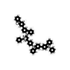 c1ccc(-c2nc(-c3ccc(-n4c5ccccc5c5cc(-c6ccc7c(c6)c6ccccc6n7-c6ccccc6)ccc54)cc3)cc(-n3c4ccccc4c4cc(-c5ccc6c(c5)oc5ccccc56)ccc43)n2)cc1